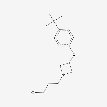 CC(C)(C)c1ccc(OC2CN(CCCCl)C2)cc1